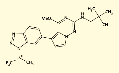 COc1nc(NCC(C)(C)C#N)nn2ccc(-c3ccc4nnn([C@H](C)C(F)(F)F)c4c3)c12